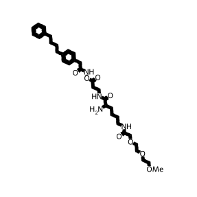 COCCOCCOCC(=O)NCCCCC(N)C(=O)NCCC(=O)ONC(=O)Cc1ccc(CCCCc2ccccc2)cc1